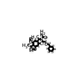 CCOC1=CC(Cl)C(C(C)N(CCOCc2ccccc2)C(N)=O)=CC(OCC)=C1C(C)O